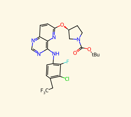 CC(C)(C)OC(=O)N1CC[C@H](Oc2ccc3ncnc(Nc4ccc(CC(F)(F)F)c(Cl)c4F)c3n2)C1